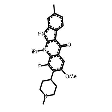 COc1cc2c(=O)c3c4ccc(C)cc4[nH]c3n(C(C)C)c2c(F)c1C1CCN(C)CC1